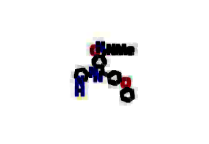 CNc1noc2cc3c(cc12)c(-c1ccc(Oc2ccccc2)cc1)nn3C1CCCNC1